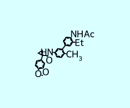 CCc1cc(-c2cc(NC(=O)C3(c4ccc5c(c4)OCO5)CC3)ccc2C)ccc1NC(C)=O